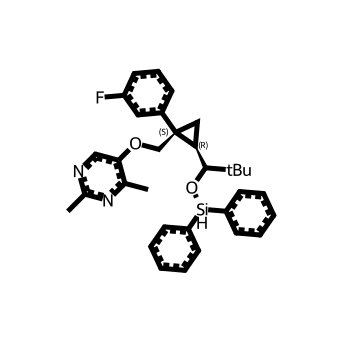 Cc1ncc(OC[C@@]2(c3cccc(F)c3)C[C@H]2C(O[SiH](c2ccccc2)c2ccccc2)C(C)(C)C)c(C)n1